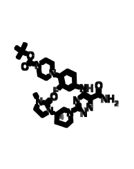 CN1CCN([C@@H]2CCCN(c3nnc(C(N)=O)c(Nc4ccc(N5CCN(C(=O)OC(C)(C)C)CC5)c(F)c4)n3)C2)C1=O